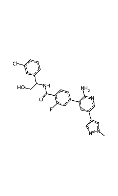 Cn1cc(-c2cnc(N)c(-c3ccc(C(=O)NC(CO)c4cccc(Cl)c4)c(F)c3)c2)cn1